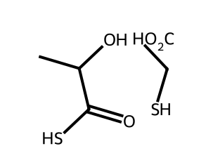 CC(O)C(=O)S.O=C(O)CS